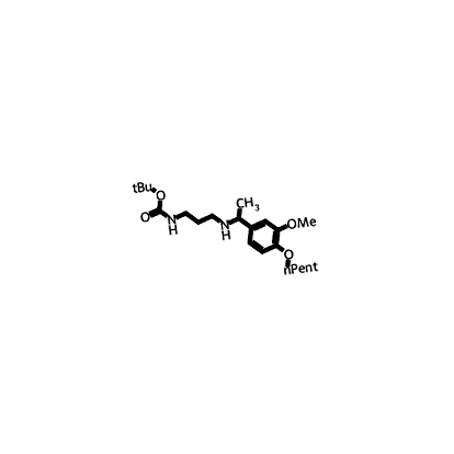 CCCCCOc1ccc(C(C)NCCCNC(=O)OC(C)(C)C)cc1OC